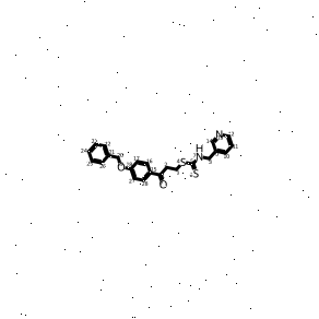 O=C(CCSC(=S)NCc1cccnc1)c1ccc(OCc2ccccc2)cc1